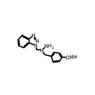 COc1ccc(CN(N)Cn2nnc3ccccc32)cc1